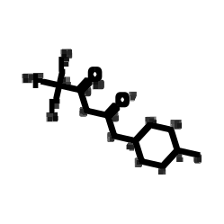 CC1CCC(CC(=O)CC(=O)C(F)(F)F)CC1